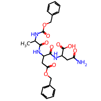 CC(NC(=O)OCc1ccccc1)C(=O)NC(CC(=O)OCc1ccccc1)C(=O)NC(CC(N)=O)C(=O)O